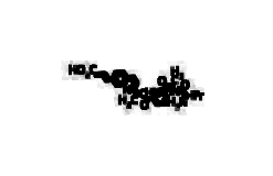 CC(NC(=O)[C@@H](N)C(C)C)C(=O)N1CCC[C@@H](C(=O)O[C@H](C)c2ccc3ccc(/C=C/CC(=O)O)cc3n2)N1